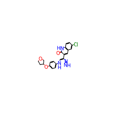 N=N/C(=C\Nc1ccc(OC2CCOC2)cc1)c1cc2cc(Cl)ccc2[nH]c1=O